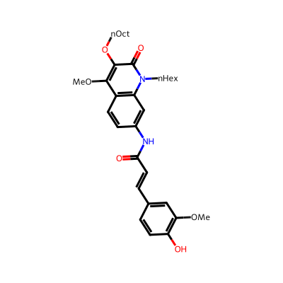 CCCCCCCCOc1c(OC)c2ccc(NC(=O)C=Cc3ccc(O)c(OC)c3)cc2n(CCCCCC)c1=O